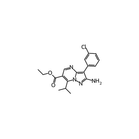 CCOC(=O)c1cnc2c(-c3cccc(Cl)c3)c(N)nn2c1C(C)C